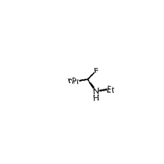 CCCC(F)NCC